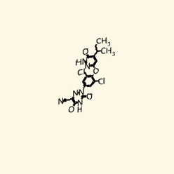 CCC(C)c1cc(Oc2c(Cl)cc(-n3nc(C#N)c(=O)[nH]c3=O)cc2Cl)n[nH]c1=O